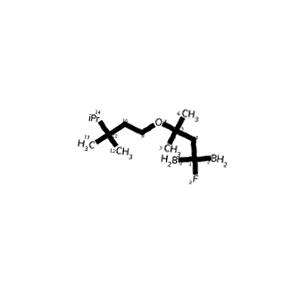 BC(B)(F)CC(C)(C)OCCC(C)(C)C(C)C